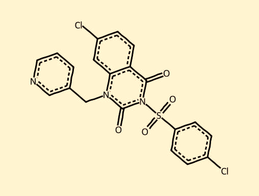 O=c1c2ccc(Cl)cc2n(Cc2cccnc2)c(=O)n1S(=O)(=O)c1ccc(Cl)cc1